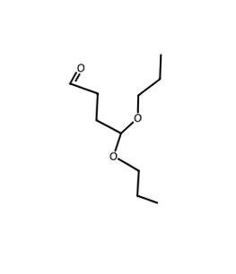 CCCOC(CCC=O)OCCC